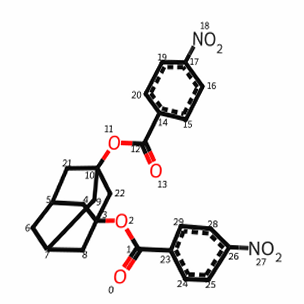 O=C(OC12CC3CC(C1)CC(OC(=O)c1ccc([N+](=O)[O-])cc1)(C3)C2)c1ccc([N+](=O)[O-])cc1